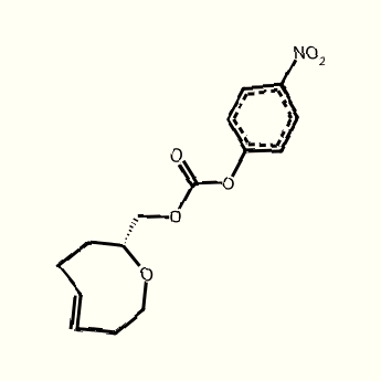 O=C(OC[C@H]1CC/C=C/CCO1)Oc1ccc([N+](=O)[O-])cc1